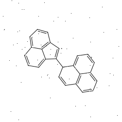 [C]1=C(C2C=Cc3cccc4cccc2c34)c2cccc3cccc1c23